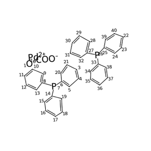 O=C([O-])[O-].[Pd+2].c1ccc(P(c2ccccc2)c2ccccc2)cc1.c1ccc(P(c2ccccc2)c2ccccc2)cc1